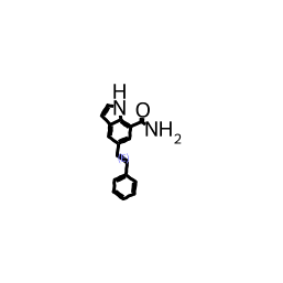 NC(=O)c1cc(/C=C/c2ccccc2)cc2cc[nH]c12